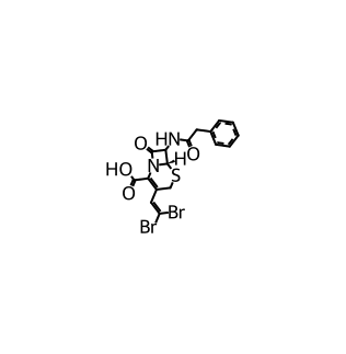 O=C(Cc1ccccc1)NC1C(=O)N2C(C(=O)O)=C(C=C(Br)Br)CS[C@@H]12